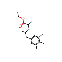 CCOC(=O)C(C)CC(C)Cc1cc(C)c(C)c(C)c1